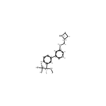 CO[C@](C)(c1cccc(-c2cncc(OC[C@@H]3CCN3)c2)c1)C(F)(F)F